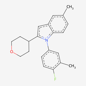 Cc1ccc2c(c1)cc(C1CCOCC1)n2-c1ccc(F)c(C)c1